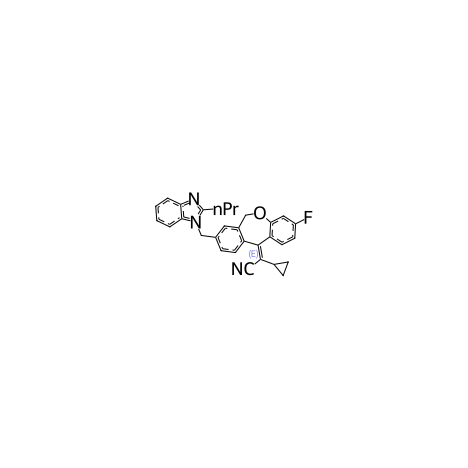 CCCc1nc2ccccc2n1Cc1ccc2c(c1)COc1cc(F)ccc1/C2=C(/C#N)C1CC1